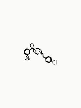 CN(C)c1cccc(C(=O)N2CCN(CCc3ccc(Cl)cc3)CC2)c1